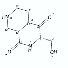 O=C1N[C@@H](CO)C(=O)N2CCNCC12